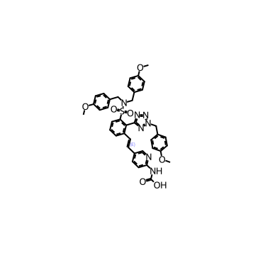 COc1ccc(CN(Cc2ccc(OC)cc2)S(=O)(=O)c2cccc(/C=C/c3ccc(NC(=O)O)nc3)c2-c2nnn(Cc3ccc(OC)cc3)n2)cc1